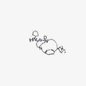 C=C1CCCCCN2CCN(CC/C(NC3CCCCC3)=N\C2=O)Cc2ccc1cc2